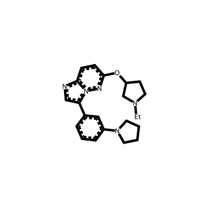 CCN1CCC(Oc2ccc3ncc(-c4cccc(N5CCCC5)c4)n3n2)C1